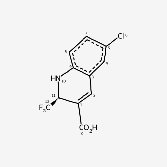 O=C(O)C1=Cc2cc(Cl)ccc2N[C@@H]1C(F)(F)F